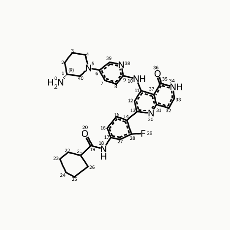 N[C@@H]1CCCN(c2ccc(Nc3cc(-c4ccc(NC(=O)C5CCCCC5)cc4F)nc4cc[nH]c(=O)c34)nc2)C1